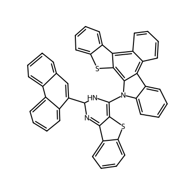 c1ccc2c(c1)cc(C1N=c3c(sc4ccccc34)=C(n3c4ccccc4c4c5ccccc5c5c6ccccc6sc5c43)N1)c1ccccc12